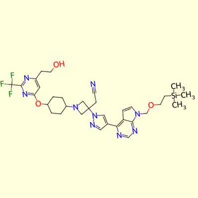 C[Si](C)(C)CCOCn1ccc2c(-c3cnn(C4(CC#N)CN(C5CCC(Oc6cc(CCO)nc(C(F)(F)F)n6)CC5)C4)c3)ncnc21